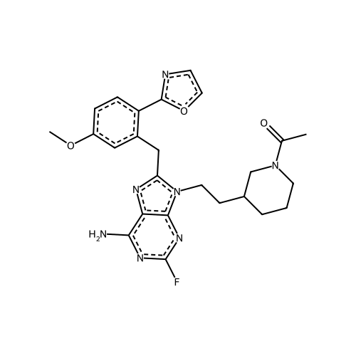 COc1ccc(-c2ncco2)c(Cc2nc3c(N)nc(F)nc3n2CCC2CCCN(C(C)=O)C2)c1